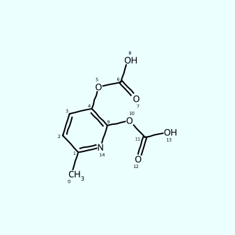 Cc1ccc(OC(=O)O)c(OC(=O)O)n1